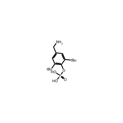 CC(C)(C)c1cc(CN)cc(C(C)(C)C)c1OP(=O)(O)O